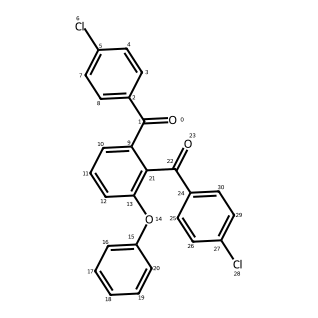 O=C(c1ccc(Cl)cc1)c1cccc(Oc2ccccc2)c1C(=O)c1ccc(Cl)cc1